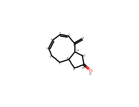 C=C1/C=C\C=C/CCC2CC(=O)CC12